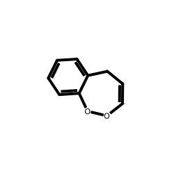 [C]1=CCc2ccccc2OO1